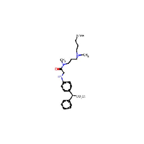 CCOC(=O)C(c1ccccc1)c1ccc(NCC(=O)N(C)CCCN(C)CCCNC)cc1